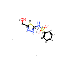 O=S(=O)(Nc1nnc(CO)s1)c1ccccc1